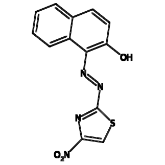 O=[N+]([O-])c1csc(N=Nc2c(O)ccc3ccccc23)n1